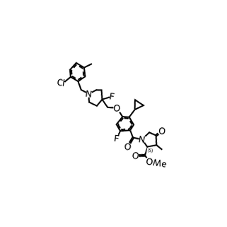 COC(=O)[C@@H]1C(C)C(=O)CN1C(=O)c1cc(C2CC2)c(OCC2(F)CCN(Cc3cc(C)ccc3Cl)CC2)cc1F